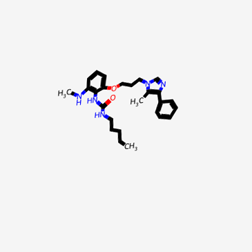 CCCCCNC(=O)Nc1c(NC)cccc1OCCCn1cnc(-c2ccccc2)c1C